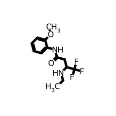 CCNC(CC(=O)Nc1ccccc1OC)C(F)(F)F